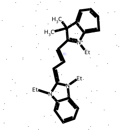 CCN1C(=C/C=C/C2=[N+](CC)c3ccccc3C2(C)C)N(CC)c2ccccc21